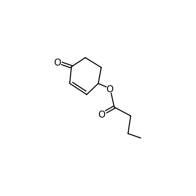 CCCC(=O)OC1C=CC(=O)CC1